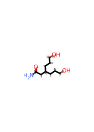 NC(=O)CC(CCCO)CCCO